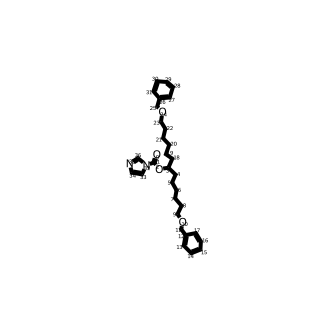 O=C(OC(CCCCCCOCc1ccccc1)CCCCCCOCc1ccccc1)n1ccnc1